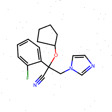 N#CC(Cn1ccnc1)(OC1CCCC1)c1ccccc1F